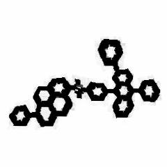 C[Si](C)(c1ccc(-c2c3ccccc3c(-c3ccccc3)c3ccc(-c4ccccc4)cc23)cc1)c1ccc2c3c1C=CC1=CC=C(c4ccccc4)C(=CC2)C13